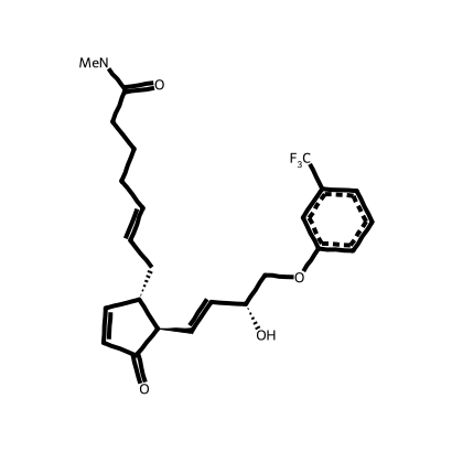 CNC(=O)CCCC=CC[C@H]1C=CC(=O)[C@@H]1C=C[C@@H](O)COc1cccc(C(F)(F)F)c1